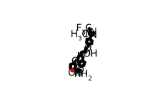 Cn1c(-c2ccc(OCC(O)CN(CCOc3ccc(O)c(C(N)=O)c3)Cc3ccccc3)cc2)nnc1C(F)(F)F